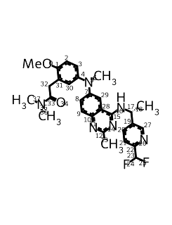 COc1ccc(N(C)c2ccc3nc(C)nc(N[C@H](C)c4ccc(C(F)F)nc4)c3c2)cc1CC(=O)N(C)C